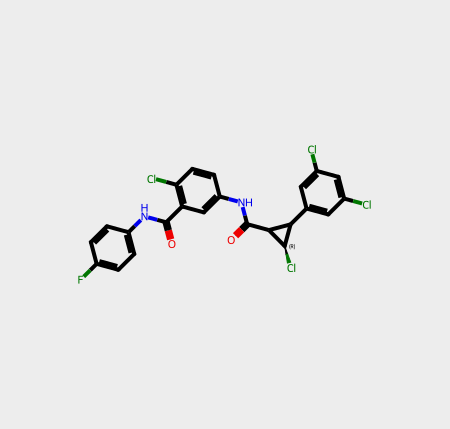 O=C(Nc1ccc(F)cc1)c1cc(NC(=O)C2C(c3cc(Cl)cc(Cl)c3)[C@H]2Cl)ccc1Cl